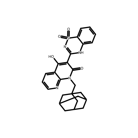 O=c1c(C2=NS(=O)(=O)c3ccccc3N2)c(O)c2cccnc2n1CC12CC3CC(CC(C3)C1)C2